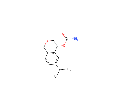 CC(C)c1ccc2c(c1)C(OC(N)=O)COC2